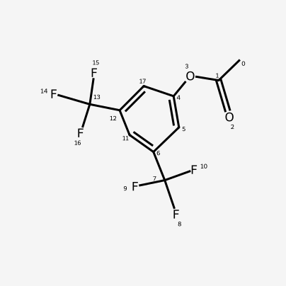 CC(=O)Oc1cc(C(F)(F)F)cc(C(F)(F)F)c1